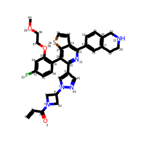 C=CC(=O)N1CC(n2cc(-c3nc(-c4ccc5c(c4)CCNC5)c4ccsc4c3-c3ccc(F)cc3OCCOC)cn2)C1